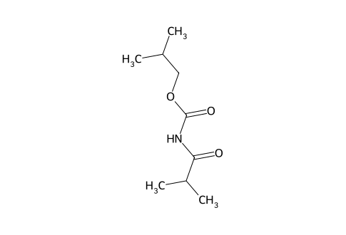 CC(C)COC(=O)NC(=O)C(C)C